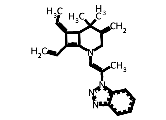 C=CC1=C2C(/C1=C\C)C(C)(C)C(=C)CN2/C=C(\C)n1nnc2ccccc21